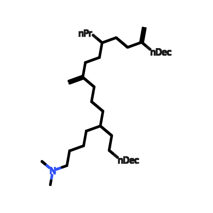 C=C(CCCCCCCCCC)CCC(CCC)CCC(=C)CCCC(CCCCCCCCCCCC)CCCCN(C)C